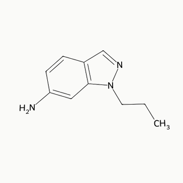 CCCn1ncc2ccc(N)cc21